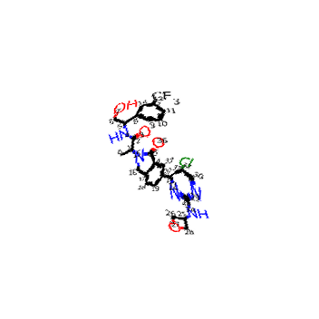 CC(C(=O)NC(CO)c1cccc(C(F)(F)F)c1)N1Cc2ccc(-c3nc(NC4COC4)ncc3Cl)cc2C1=O